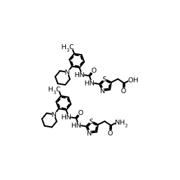 Cc1ccc(NC(=O)Nc2ncc(CC(=O)O)s2)c(N2CCCCC2)c1.Cc1ccc(NC(=O)Nc2ncc(CC(N)=O)s2)c(N2CCCCC2)c1